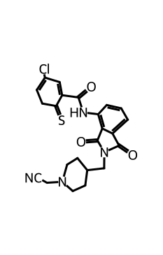 N#CCN1CCC(CN2C(=O)c3cccc(NC(=O)C4=CC(Cl)=CCC4=S)c3C2=O)CC1